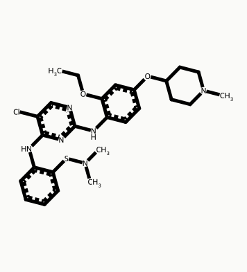 CCOc1cc(OC2CCN(C)CC2)ccc1Nc1ncc(Cl)c(Nc2ccccc2SN(C)C)n1